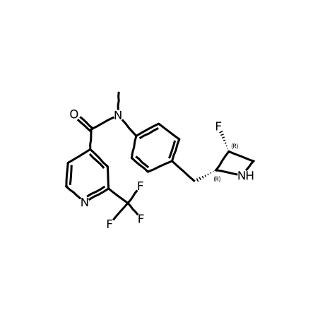 CN(C(=O)c1ccnc(C(F)(F)F)c1)c1ccc(C[C@H]2NC[C@H]2F)cc1